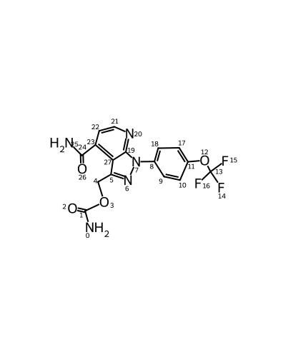 NC(=O)OCc1nn(-c2ccc(OC(F)(F)F)cc2)c2nccc(C(N)=O)c12